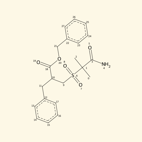 CC(C)(C(N)=O)S(=O)(=O)CC(Cc1ccccc1)C(=O)OCc1ccccc1